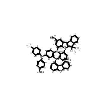 CC(C)(C)c1ccc(N(c2ccc(C(C)(C)C)cc2)c2ccc3c(c2)N(c2cccc4oc5ccccc5c24)c2cc(C(C)(C)C)cc4c2B3c2cc(C(C)(C)C)cc3c5c(n-4c23)C(C)(C)c2ccccc2-5)cc1